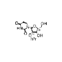 CCCO[C@H]1C(O)[C@@H](CO)O[C@H]1n1ccc(=O)[nH]c1=O